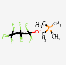 C[P+](C)(C)C.[O-]C(F)(F)C(F)(F)C(F)(F)F